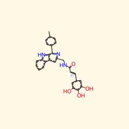 Cc1ccc(-c2nc(CNC(=O)/C=C/c3cc(O)c(O)c(O)c3)cc3c2[nH]c2ccccc23)cc1